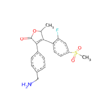 CC1OC(=O)C(c2ccc(CN)cc2)=C1c1ccc(S(C)(=O)=O)cc1F